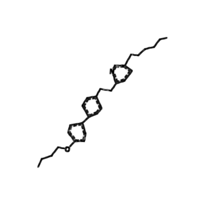 CCCCCCc1ccc(CCc2ccc(-c3ccc(OCCCC)cc3)cc2)nc1